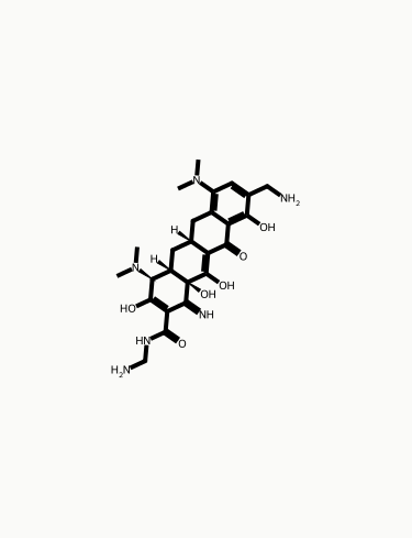 CN(C)c1cc(CN)c(O)c2c1C[C@H]1C[C@H]3[C@H](N(C)C)C(O)=C(C(=O)NCN)C(=N)[C@@]3(O)C(O)=C1C2=O